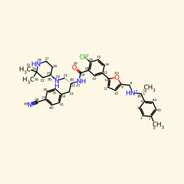 Cc1ccc([C@@H](C)NCc2ccc(-c3ccc(Cl)c(C(=O)N[C@@H](CN[C@@H]4CCNC(C)(C)C4)Cc4ccc(C#N)cc4)c3)o2)cc1